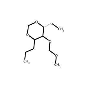 CCCC1OCO[C@H](CC)C1OCOC